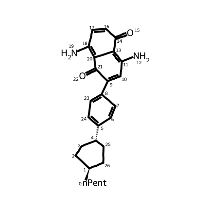 CCCCC[C@H]1CC[C@H](c2ccc(C3=CC(N)=C4C(=O)C=CC(N)=C4C3=O)cc2)CC1